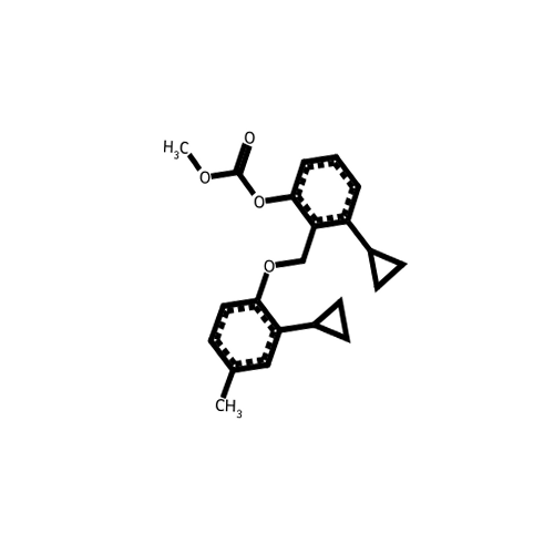 COC(=O)Oc1cccc(C2CC2)c1COc1ccc(C)cc1C1CC1